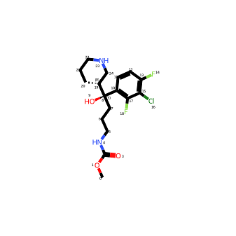 COC(=O)NCCC[C@@](O)(c1ccc(F)c(Cl)c1F)[C@@H]1CCCNC1